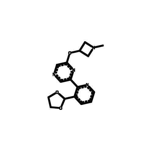 CN1CC(Oc2cncc(-c3ncccc3C3OCCO3)n2)C1